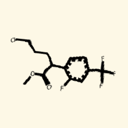 COC(=O)C(CCCCl)c1ccc(C(F)(F)F)cc1F